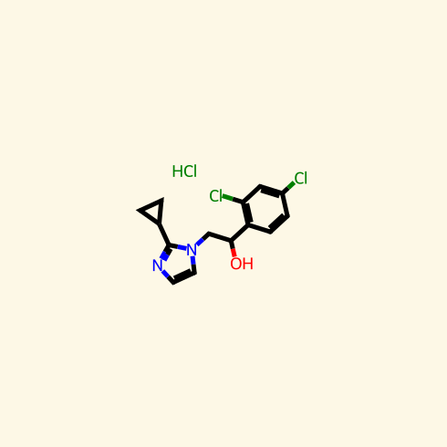 Cl.OC(Cn1ccnc1C1CC1)c1ccc(Cl)cc1Cl